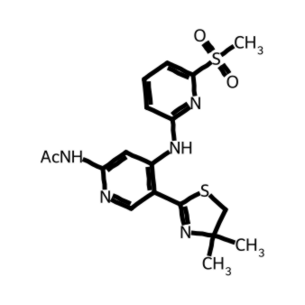 CC(=O)Nc1cc(Nc2cccc(S(C)(=O)=O)n2)c(C2=NC(C)(C)CS2)cn1